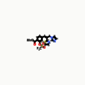 COC(=O)c1ccc(C=C(Cn2ccnc2)c2nccs2)cc1OS(=O)(=O)C(F)(F)F